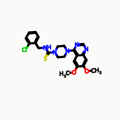 COc1cc2ncnc(N3CCN(C(=S)NCc4ccccc4Cl)CC3)c2cc1OC